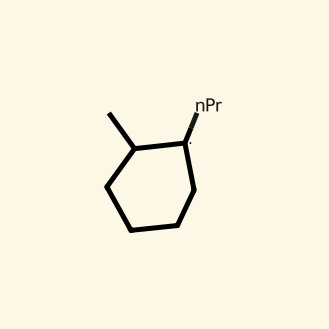 CCC[C]1CCCCC1C